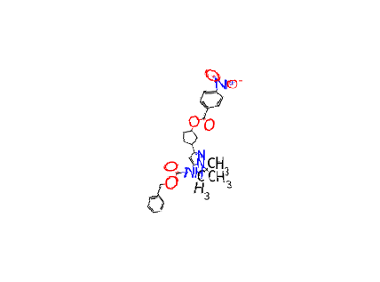 CC(C)(C)n1nc(C2CCC(OC(=O)c3ccc([N+](=O)[O-])cc3)C2)cc1NC(=O)OCc1ccccc1